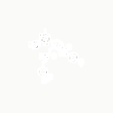 COc1ccc(NC(=O)N2CCN(c3cc(C)nc(-n4ccnc4)n3)C(CC(=O)NCCc3ccc4c(c3)OCO4)C2)cc1